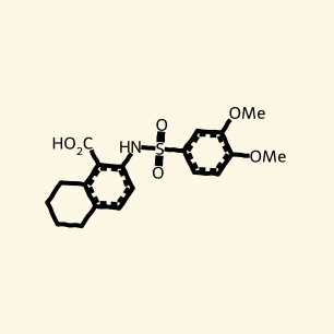 COc1ccc(S(=O)(=O)Nc2ccc3c(c2C(=O)O)CCCC3)cc1OC